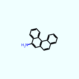 Nc1cc2ccc3ccccc3c2c2ccccc12